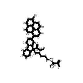 C=C(C)C(=O)OCCCCCC1(C(=C)CC)c2ccccc2-c2ccc(-c3ccc4ccc5c(I)ccc6ccc3c4c65)cc21